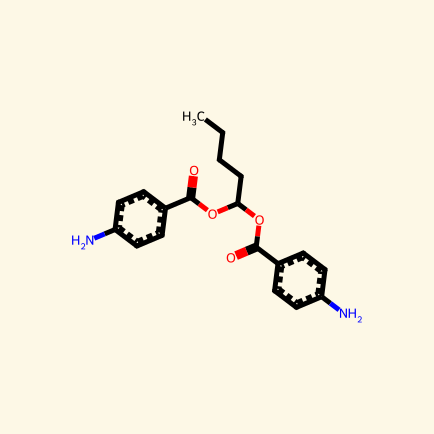 CCCCC(OC(=O)c1ccc(N)cc1)OC(=O)c1ccc(N)cc1